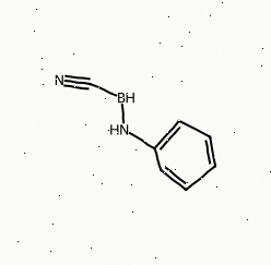 N#CBNc1ccccc1